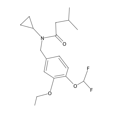 CCOc1cc(CN(C(=O)CC(C)C)C2CC2)ccc1OC(F)F